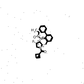 CC[S+]([O-])N[C@H]1[C@@H](F)CN(C(=O)C23CC(C2)C3)[C@H]1Cc1cccc(-c2ccccc2)c1F